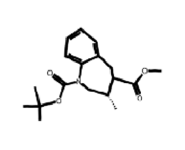 COC(=O)C1Cc2ccccc2N(C(=O)OC(C)(C)C)C[C@H]1C